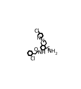 NSc1cc(NC(=O)Cc2ccccc2Cl)cc2c1CCN(c1ccc(Cl)cn1)C2